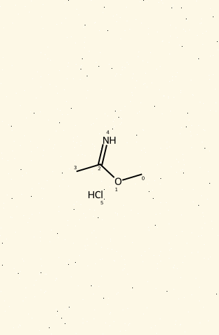 COC(C)=N.Cl